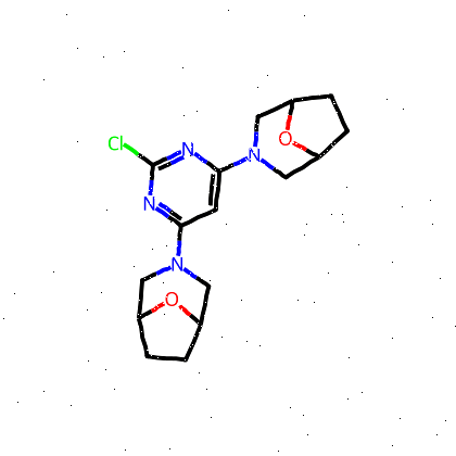 Clc1nc(N2CC3CCC(C2)O3)cc(N2CC3CCC(C2)O3)n1